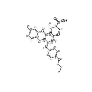 CCCOc1ccc(/N=c2\[nH]c(=O)n([C@H](C)[C@H](C)C(=O)O)c(=O)n2Cc2ccc(C)cc2)cc1